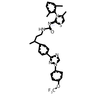 Cc1cccc(C)c1-n1c(C)cs/c1=N\C(=O)NCCC(C)c1ccc(-c2ncn(-c3ccc(OC(F)(F)F)cc3)n2)cc1